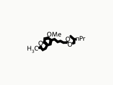 CCCC1COC(CCCCc2cc3c(cc2OC)OC(C)CC3)OC1